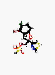 CS(=O)(=O)OCC1(c2cscn2)Cc2c(ccc(Cl)c2Br)O1